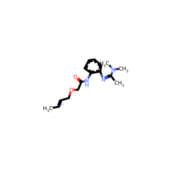 C/C=C/COCC(=O)Nc1ccccc1N=C(C)N(C)C